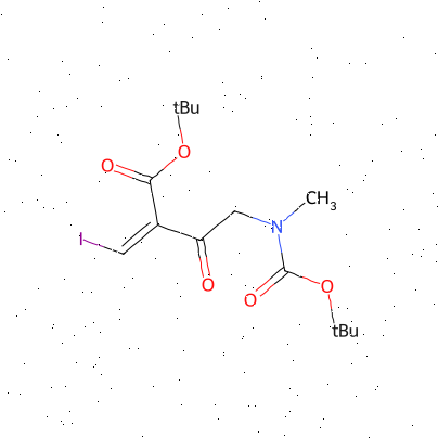 CN(CC(=O)/C(=C/I)C(=O)OC(C)(C)C)C(=O)OC(C)(C)C